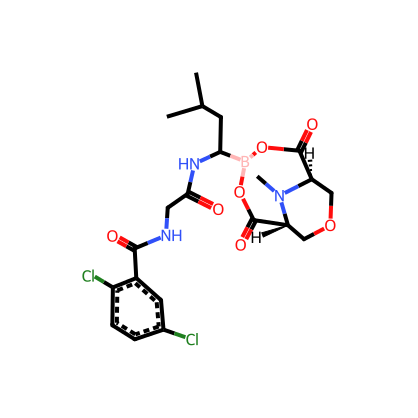 CC(C)CC(NC(=O)CNC(=O)c1cc(Cl)ccc1Cl)B1OC(=O)[C@H]2COC[C@H](C(=O)O1)N2C